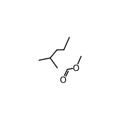 CCCC(C)C.COC=O